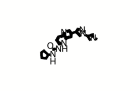 CN1CC(n2cc(-c3cnc4ccc(NC(=O)NC5CCCC5)nc4c3)cn2)C1